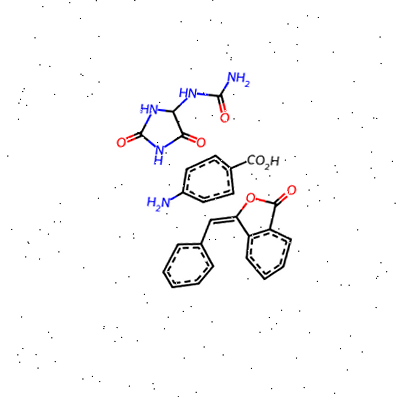 NC(=O)NC1NC(=O)NC1=O.Nc1ccc(C(=O)O)cc1.O=C1O/C(=C/c2ccccc2)c2ccccc21